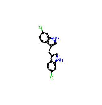 Clc1ccc2c(Cc3c[nH]c4cc(Cl)ccc34)c[nH]c2c1